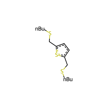 CCCCSCc1ccc(CSCCCC)s1